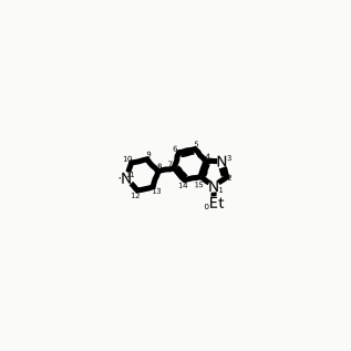 CCn1cnc2ccc(C3CC[N]CC3)cc21